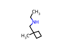 CCNCC1(C)CCC1